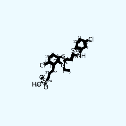 CC[n+]1c(C=C2Nc3cc(Cl)ccc3S2)sc2ccc(Cl)c(CCCS(=O)(=O)O)c21